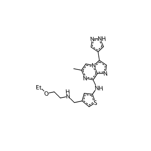 CCOCCNCc1csc(Nc2nc(C)cn3c(-c4cn[nH]c4)cnc23)c1